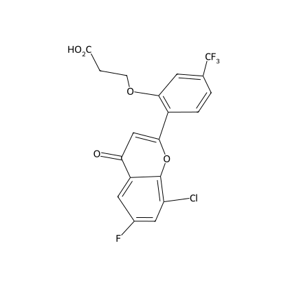 O=C(O)CCOc1cc(C(F)(F)F)ccc1-c1cc(=O)c2cc(F)cc(Cl)c2o1